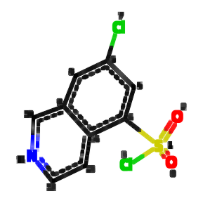 O=S(=O)(Cl)c1cc(Cl)cc2cnccc12